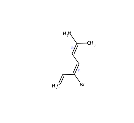 C=C/C(Br)=C\C=C(/C)N